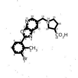 Cc1c(Br)cccc1-c1nc2cc(CN3CCC(C(=O)O)C3)cnc2o1